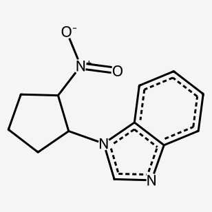 O=[N+]([O-])C1CCCC1n1cnc2ccccc21